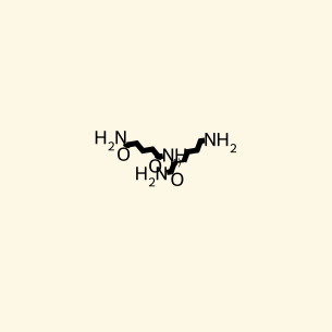 NCCCC[C@H](NC(=O)CCCC(N)=O)C(N)=O